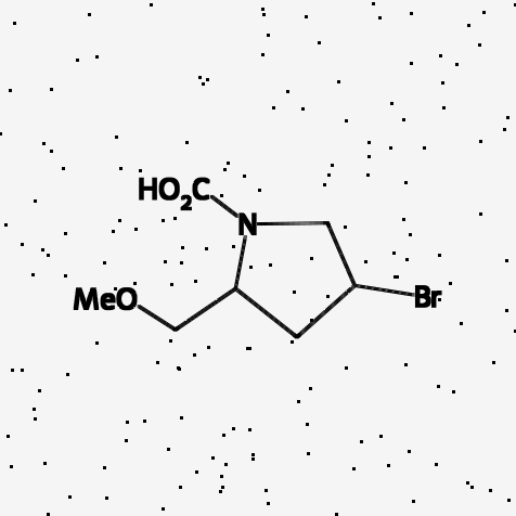 COCC1CC(Br)CN1C(=O)O